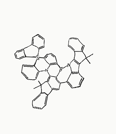 CC1(C)c2ccccc2-c2cc3c4c(c21)N1c2ccccc2[Si]2(c5ccccc5-c5ccccc52)c2cccc(c21)B4n1c2c(c4cccc-3c41)C(C)(C)c1ccccc1-2